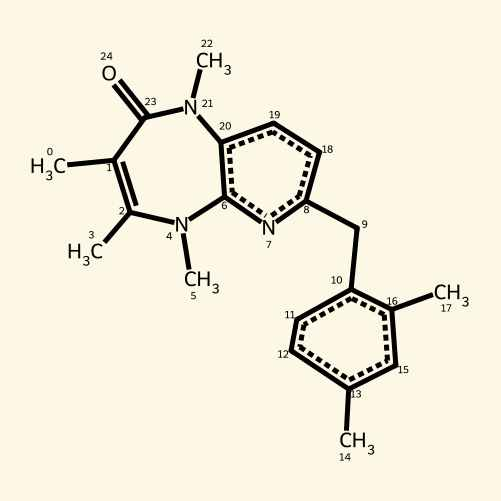 CC1=C(C)N(C)c2nc(Cc3ccc(C)cc3C)ccc2N(C)C1=O